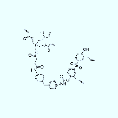 C=CCc1cc(S(=O)(=O)c2ccc(OC(=O)Nc3ccc(Cc4ccc(NC(=O)CCC(=O)OCC(CCC(=O)C=C)(COC(=O)C=C)COC(=O)C=C)cc4)cc3)c(CC=C)c2)ccc1O